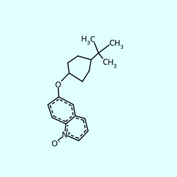 CC(C)(C)C1CCC(Oc2ccc3c(ccc[n+]3[O-])c2)CC1